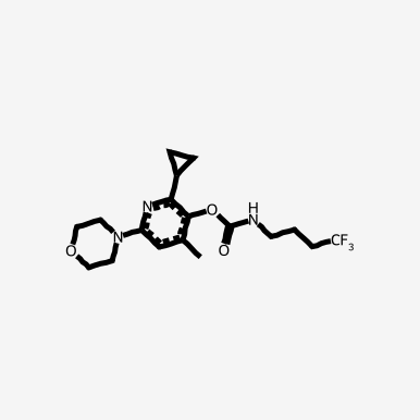 Cc1cc(N2CCOCC2)nc(C2CC2)c1OC(=O)NCCCC(F)(F)F